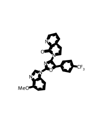 COc1cccc2c1ncn2-c1nc(-n2ccc3cccnc3c2=O)c(-c2ccc(C(F)(F)F)cc2)o1